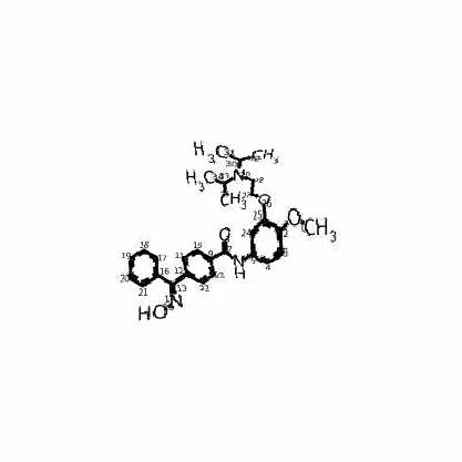 COc1ccc(NC(=O)c2ccc(C(=NO)c3ccccc3)cc2)cc1OCCN(C(C)C)C(C)C